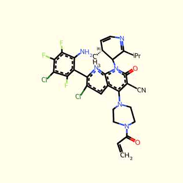 C=CC(=O)N1CCN(c2c(C#N)c(=O)n(C3C(C(C)C)=NC=C[C@H]3C)c3nc(-c4c(N)c(F)c(F)c(Cl)c4F)c(Cl)cc23)CC1